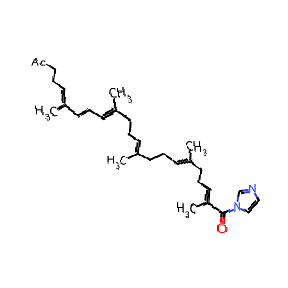 CC(=O)CCC=C(C)CCC=C(C)CCC=C(C)CCC=C(C)CCC=C(C)C(=O)n1ccnc1